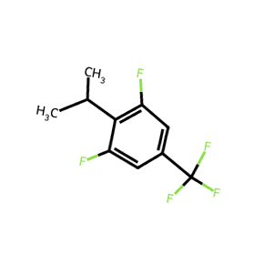 CC(C)c1c(F)cc(C(F)(F)F)cc1F